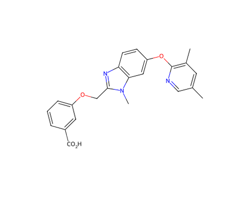 Cc1cnc(Oc2ccc3nc(COc4cccc(C(=O)O)c4)n(C)c3c2)c(C)c1